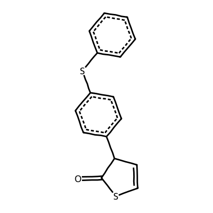 O=C1SC=CC1c1ccc(Sc2ccccc2)cc1